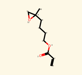 C=CC(=O)OCCCCC1(C)CO1